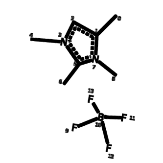 Cc1c[n+](C)c(C)n1C.F[B-](F)(F)F